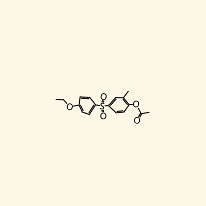 CCOc1ccc(S(=O)(=O)c2ccc(OC(C)=O)c(C)c2)cc1